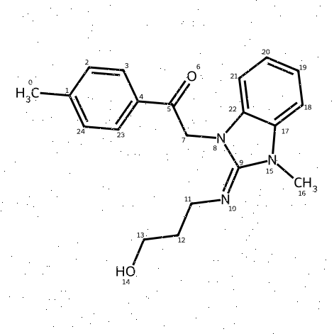 Cc1ccc(C(=O)Cn2/c(=N\CCCO)n(C)c3ccccc32)cc1